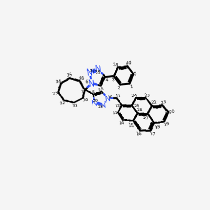 c1ccc(-c2cn(C3(c4cn(Cc5ccc6ccc7cccc8ccc5c6c78)nn4)CCCCCCC3)nn2)cc1